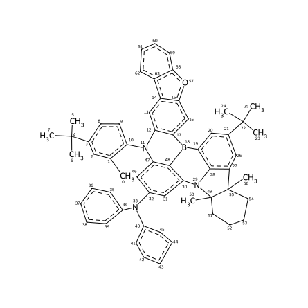 Cc1cc(C(C)(C)C)ccc1N1c2cc3c(cc2B2c4cc(C(C)(C)C)cc5c4N(c4cc(N(c6ccccc6)c6ccccc6)cc1c42)C1(C)CCCCC51C)oc1ccccc13